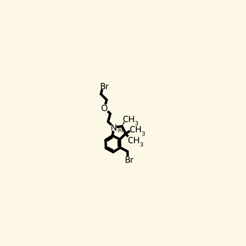 C[C@H]1N(CCOCCBr)c2cccc(CBr)c2C1(C)C